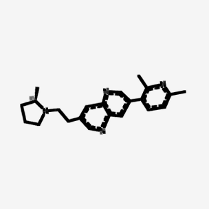 Cc1ccc(-c2cnc3cc(CCN4CCC[C@H]4C)cnc3c2)c(C)n1